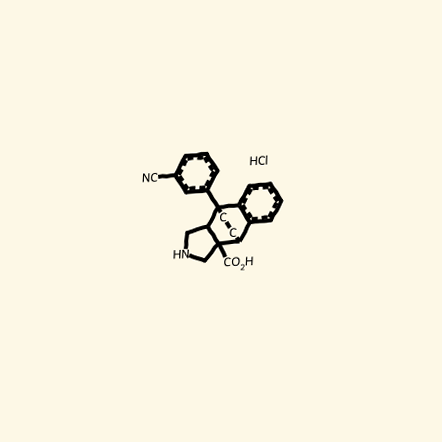 Cl.N#Cc1cccc(C23CCC(c4ccccc42)C2(C(=O)O)CNCC32)c1